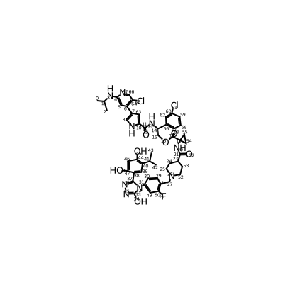 CC(C)Nc1cc(-c2c[nH]c(C(=O)N[C@H](COC(=O)C3(NC(=O)C4CCN(Cc5ccc(-n6c(O)nnc6-c6cc(C(C)C)c(O)cc6O)cc5F)CC4)CC3)c3cccc(Cl)c3)c2)c(Cl)cn1